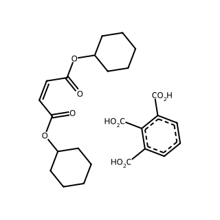 O=C(/C=C\C(=O)OC1CCCCC1)OC1CCCCC1.O=C(O)c1cccc(C(=O)O)c1C(=O)O